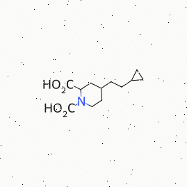 O=C(O)C1CC(CCC2CC2)CCN1C(=O)O